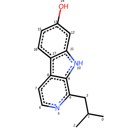 CC(C)Cc1nccc2c1[nH]c1cc(O)ccc12